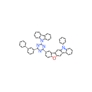 c1ccc(-c2cccc(-c3nc(-c4ccc5oc6cc7c8ccccc8n(-c8ccccc8)c7cc6c5c4)nc(-n4c5ccccc5c5ccccc54)n3)c2)cc1